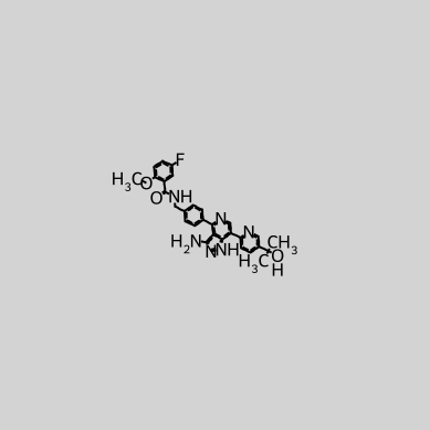 COc1ccc(F)cc1C(=O)NCc1ccc(-c2ncc(-c3ccc(C(C)(C)O)cn3)c3[nH]nc(N)c23)cc1